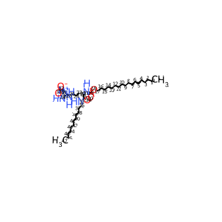 CCCCCCCCCCCCCCCCCCOC(=O)N[C@@H](CCCNC(=N)N[N+](=O)[O-])C(=O)NCCCCCCCCCCCC